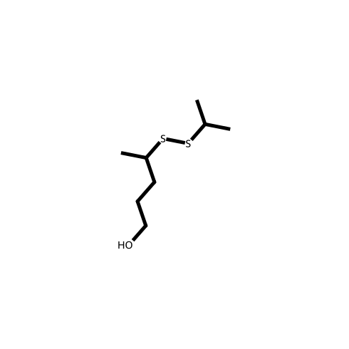 CC(C)SSC(C)CCCO